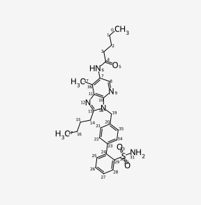 CCCCC(=O)Nc1cnc2c(nc(CCCC)n2Cc2ccc(-c3ccccc3S(N)(=O)=O)cc2)c1C